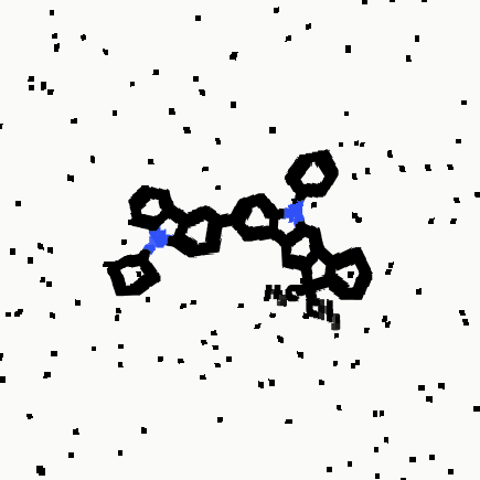 CC1(C)c2ccccc2-c2cc3c(cc21)c1cc(-c2ccc4c(c2)c2ccccc2n4-c2ccccc2)ccc1n3-c1ccccc1